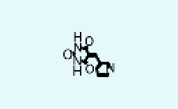 O=C1NC(=O)C(=Cc2cccnc2)C(=O)N1